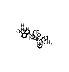 C[C@@H](C(CCl)NC(=O)c1cnn(-c2cnc3c4c(cccc24)C(=O)N3)c1C(F)(F)F)n1cccn1